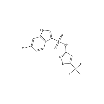 CC(F)(F)c1cc(NS(=O)(=O)c2c[nH]c3cc(Cl)ccc23)no1